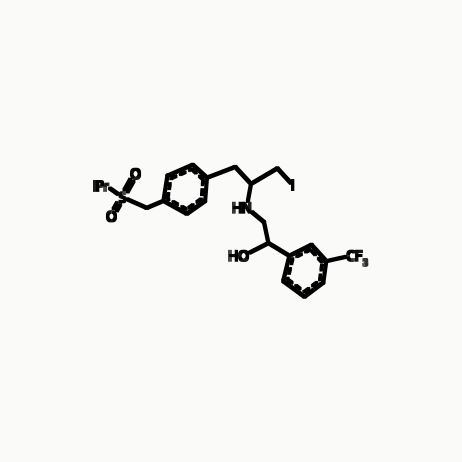 CC(C)S(=O)(=O)Cc1ccc(CC(CI)NCC(O)c2cccc(C(F)(F)F)c2)cc1